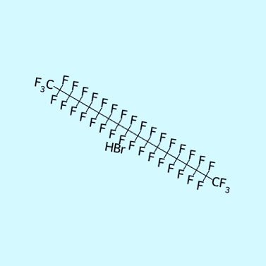 Br.FC(F)(F)C(F)(F)C(F)(F)C(F)(F)C(F)(F)C(F)(F)C(F)(F)C(F)(F)C(F)(F)C(F)(F)C(F)(F)C(F)(F)C(F)(F)C(F)(F)C(F)(F)C(F)(F)C(F)(F)C(F)(F)F